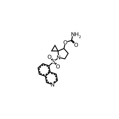 NC(=O)OC1CCN(S(=O)(=O)c2cccc3cnccc23)C12CC2